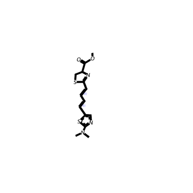 COC(=O)C1CSC(/C=C/C=C/c2cnc(N(C)C)s2)=N1